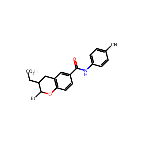 CCC1Oc2ccc(C(=O)Nc3ccc(C#N)cc3)cc2CC1CC(=O)O